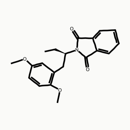 CC[C@H](Cc1cc(OC)ccc1OC)N1C(=O)c2ccccc2C1=O